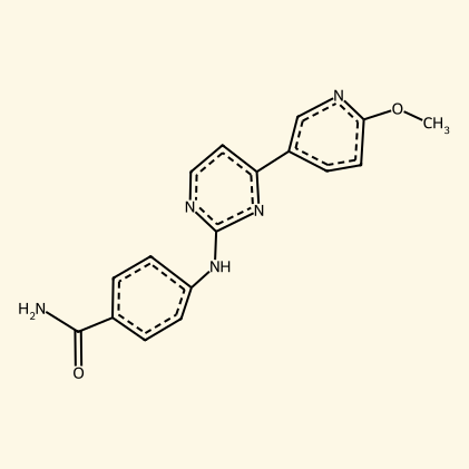 COc1ccc(-c2ccnc(Nc3ccc(C(N)=O)cc3)n2)cn1